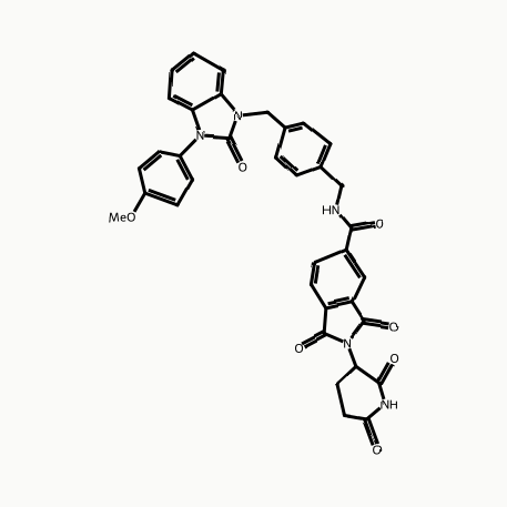 COc1ccc(-n2c(=O)n(Cc3ccc(CNC(=O)c4ccc5c(c4)C(=O)N(C4CCC(=O)NC4=O)C5=O)cc3)c3ccccc32)cc1